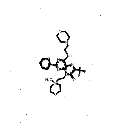 C[N+]1(CCn2c(=O)c(C(F)(F)F)nc3c(NCCN4CCOCC4)nc(-c4ccccc4)nc32)CCOCC1